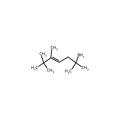 BC(C)(C)C/C=C(\C)C(C)(C)C